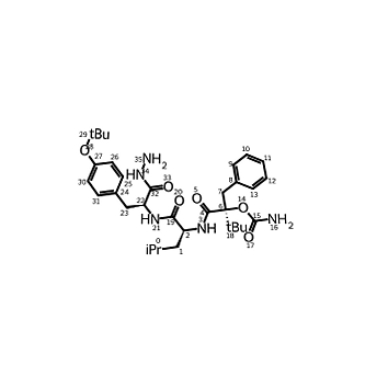 CC(C)C[C@H](NC(=O)[C@@](Cc1ccccc1)(OC(N)=O)C(C)(C)C)C(=O)N[C@@H](Cc1ccc(OC(C)(C)C)cc1)C(=O)NN